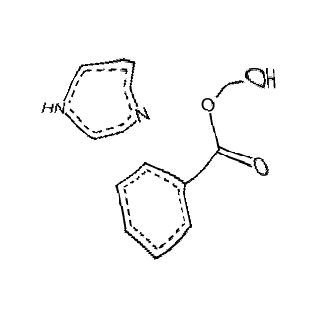 O=C(OO)c1ccccc1.c1c[nH]cn1